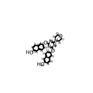 Oc1ccc2cc(Oc3nc(Oc4ccc5cc(O)ccc5c4)nc(N4CCOCC4)n3)ccc2c1